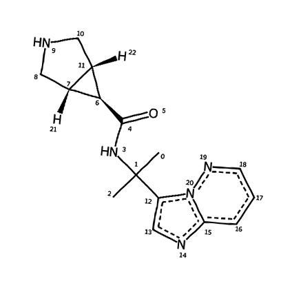 CC(C)(NC(=O)[C@H]1[C@@H]2CNC[C@@H]21)c1cnc2cccnn12